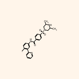 CC1CN(S(=O)(=O)c2ccc(C(=O)Nc3ccc(I)c(-c4ccccn4)c3)cc2)CC(C)N1